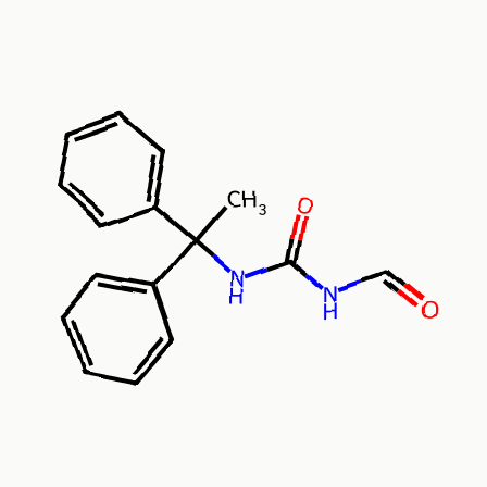 CC(NC(=O)NC=O)(c1ccccc1)c1ccccc1